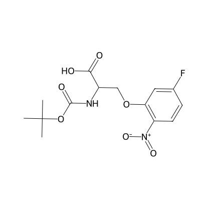 CC(C)(C)OC(=O)NC(COc1cc(F)ccc1[N+](=O)[O-])C(=O)O